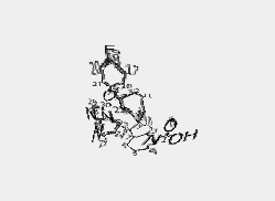 O=C(O)N1CCCC(Cc2cccc(Oc3ccc(F)cc3)c2)C1.c1cnc2nccn2c1